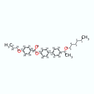 CCCCCCOC(C)c1ccc(-c2ccc(OC(=O)c3ccc(OCCC)cc3)cc2)cc1